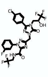 O=C(NCC(F)(F)F)c1nc(Cn2nc(-c3ccc(Cl)cc3)n(C[C@H](O)C(F)(F)F)c2=O)nn1-c1cccc(F)c1